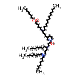 CCCCCCCCCCCCCC/C(=C\CCCCC(=O)OCCCCCCCC)CCCC1CCCN(C(=O)C/C=C(\CCCCCCCCC)CCCN(CCCCCCCCC)CCCCCCCCC)C1